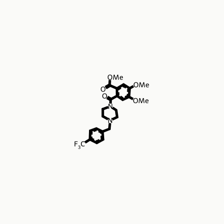 COC(=O)c1cc(OC)c(OC)cc1C(=O)N1CCN(Cc2ccc(C(F)(F)F)cc2)CC1